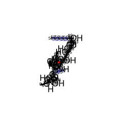 C=CCOC(=O)N[C@@H]1[C@H](O)[C@H](O[C@@H](/C=C/C=C/C)C[C@@H]2O[C@](O)(C[C@@H](O)C[C@@H](O)[C@H](O)CC[C@@H](O)C[C@@H](O)CC(=O)O[C@@H](C)[C@H](C)[C@H](O)[C@@H](C)/C=C/C=C/C=C/C=C/C)C[C@H](OC(=O)OCC=C)[C@H]2N=C=O)O[C@H](C)[C@H]1O